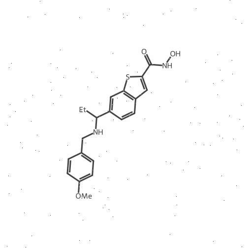 CCC(NCc1ccc(OC)cc1)c1ccc2cc(C(=O)NO)sc2c1